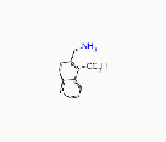 NCc1ccc2ccccc2c1C(=O)O